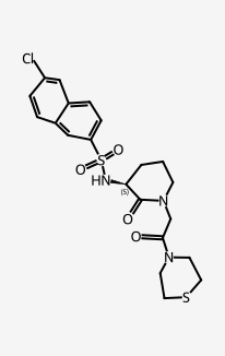 O=C(CN1CCC[C@H](NS(=O)(=O)c2ccc3cc(Cl)ccc3c2)C1=O)N1CCSCC1